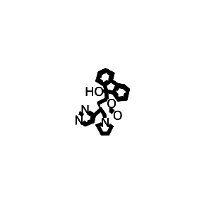 O=COC(C[C@@H](CN1CCCC1)c1ccncn1)C1(O)c2ccccc2-c2ccccc21